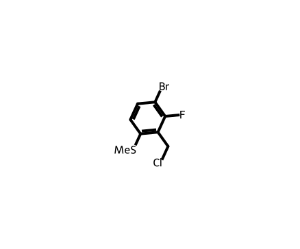 CSc1ccc(Br)c(F)c1CCl